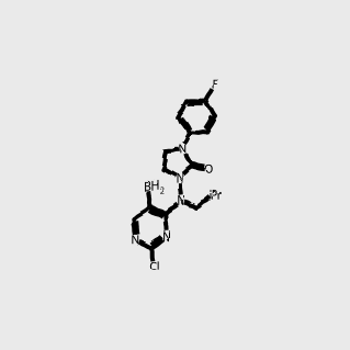 Bc1cnc(Cl)nc1N(CC(C)C)N1CCN(c2ccc(F)cc2)C1=O